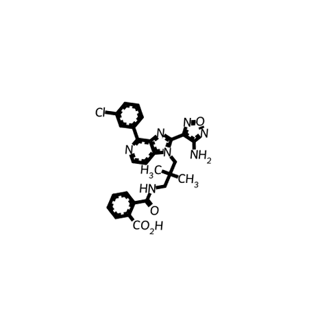 CC(C)(CNC(=O)c1ccccc1C(=O)O)Cn1c(-c2nonc2N)nc2c(-c3cccc(Cl)c3)nccc21